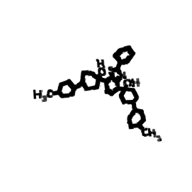 CC1CCC(C2CCC(O)(c3ccc(C4(O)CCC(C5CCC(C)CC5)CC4)c4sc(-c5ccccc5)nc34)CC2)CC1